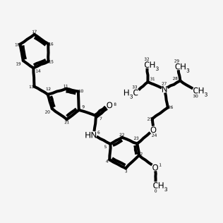 COc1ccc(NC(=O)c2ccc(Cc3ccccc3)cc2)cc1OCCN(C(C)C)C(C)C